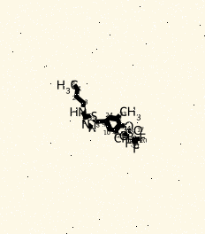 CCCCNc1nnc(-c2cc(C)c(OS(=O)(=O)C(F)(F)F)c(C)c2)s1